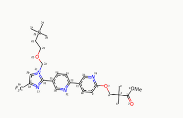 COC(=O)C(C)(C)COc1ccc(-c2ccc(-c3nc(C(F)(F)F)cn3COCC[Si](C)(C)C)cn2)cn1